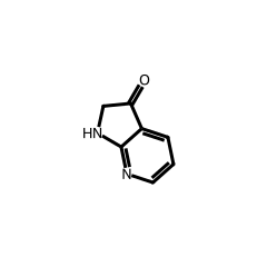 O=C1CNc2ncccc21